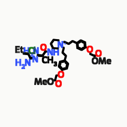 CC/C=C(Cl)/C(N)=N\C(N)=C(/C)C(=O)NC1CCC[N+](CCCc2ccc(OCC(=O)OC)cc2)(CCCc2ccc(OCC(=O)OC)cc2)C1